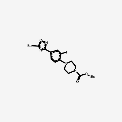 CCC(C)c1nc(-c2ccc(N3CCN(C(=O)OC(C)(C)C)CC3)c(F)c2)no1